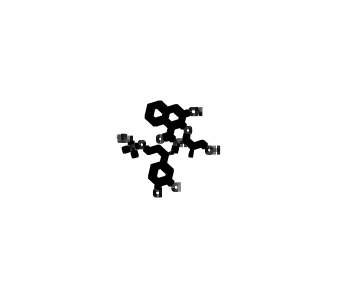 C[C@H](CO)COc1c(C#N)cc2ccccc2c1C(=O)NC[C@@H](CCO[Si](C)(C)C(C)(C)C)c1ccc(Cl)c(Cl)c1